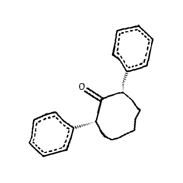 O=C1[C@H](c2ccccc2)CCC[C@@H]1c1ccccc1